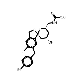 CCc1ccc(Cc2cc3c(cc2Cl)CO[C@@]32C[C@@H](O)C[C@@H](CNC(=O)C(C)(C)C)O2)cc1